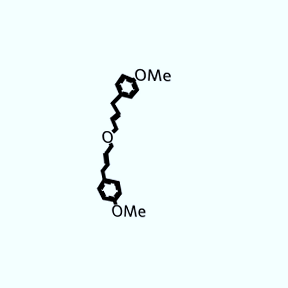 COc1ccc(CC=CCOCC=CCc2ccc(OC)cc2)cc1